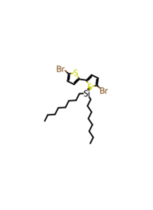 CCCCCCCC[Si](CCCCCCCC)=S1C(Br)=CC=C1c1ccc(Br)s1